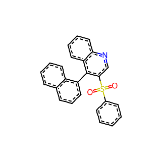 O=S(=O)(c1ccccc1)c1cnc2ccccc2c1-c1cccc2ccccc12